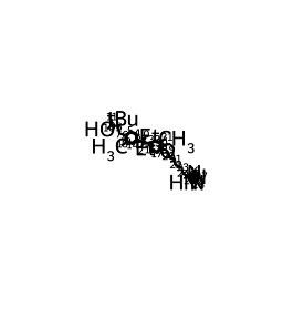 CCC(CC)(c1ccc(CCC(O)C(C)(C)C)c(C)c1)c1ccc(OCCCCCc2nnn[nH]2)c(C)c1